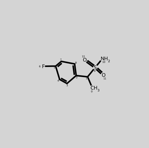 CC(c1ccc(F)cc1)S(N)(=O)=O